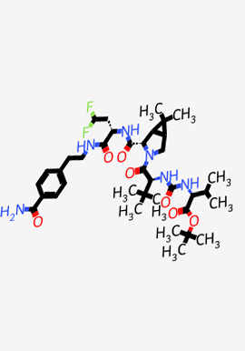 CC(C)[C@H](NC(=O)N[C@H](C(=O)N1CC2C([C@H]1C(=O)N[C@@H](CC(F)F)C(=O)NCCc1ccc(C(N)=O)cc1)C2(C)C)C(C)(C)C)C(=O)OC(C)(C)C